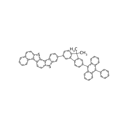 CC1(C)c2ccc(-c3ccc4c(c3)sc3ccc5c(sc6ccc7ccccc7c65)c34)cc2-c2ccc(-c3c4ccccc4c(-c4ccccc4)c4ccccc34)cc21